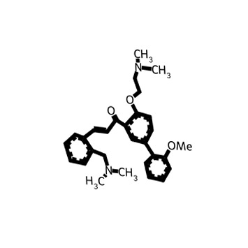 COc1ccccc1-c1ccc(OCCN(C)C)c(C(=O)C=Cc2ccccc2CN(C)C)c1